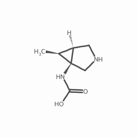 C[C@H]1[C@H]2CNC[C@@]21NC(=O)O